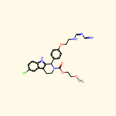 COCCOC(=O)N1CCc2c([nH]c3ccc(Cl)cc23)C1c1ccc(OCCN/C=N\C=N)cc1